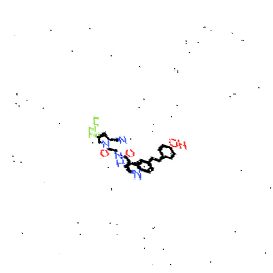 N#CC1CC(F)(F)CN1C(=O)CNC(=O)c1ccnc2ccc(C=CC3CCC(O)CC3)cc12